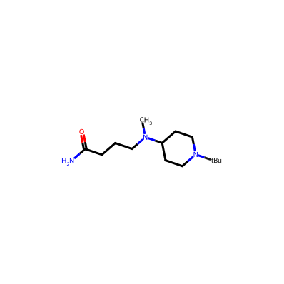 CN(CCCC(N)=O)C1CCN(C(C)(C)C)CC1